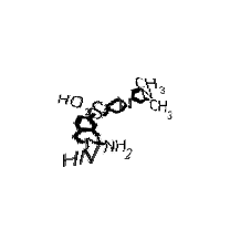 Cc1cc(N2CCC(COc3ccc4c(c3)CN(C(=N)N)CC4)(C(=O)O)CC2)cc(C)n1